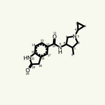 CC1CN(C2CC2)CC1NC(=O)c1ccc2c(c1)CC(=O)N2